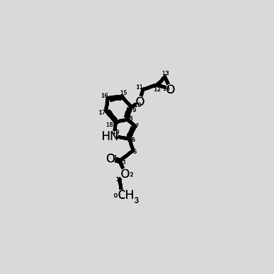 CCOC(=O)Cc1cc2c(OCC3CO3)cccc2[nH]1